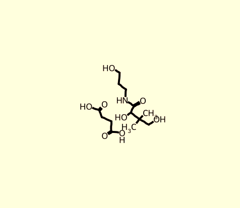 CC(C)(CO)C(O)C(=O)NCCCO.O=C(O)CCC(=O)O